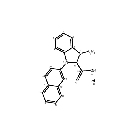 CN1c2ccccc2N(c2ccc3ccccc3c2)C1C(=O)O.I